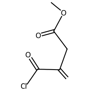 C=C(CC(=O)OC)C(=O)Cl